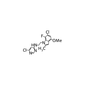 COc1cc(Cl)c(F)c2c1cc(C)n2CCNc1cc(Cl)ncn1